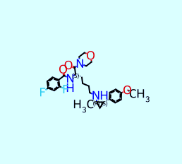 COc1ccc([C@@H]2C[C@@]2(C)NCCCC[C@H](NC(=O)c2ccc(F)cc2F)C(=O)N2CCOCC2)cc1